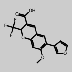 COc1cc2c(cc1-c1ccoc1)C=C(C(=O)O)C(C(F)(F)F)O2